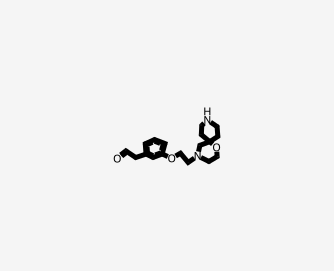 O=CCc1cccc(OCCN2CCOC3(CCNCC3)C2)c1